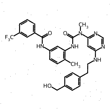 Cc1ccc(NC(=O)c2cccc(C(F)(F)F)c2)cc1NC(=O)N(C)c1cc(NCCc2ccc(CO)cc2)ncn1